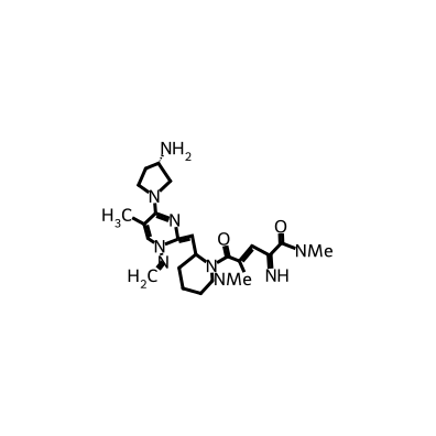 C=NN1C=C(C)C(N2CC[C@H](N)C2)=N/C1=C/C1CCCCN1C(=O)/C(=C/C(=N)C(=O)NC)NC